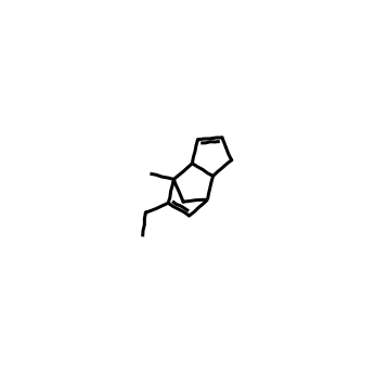 CCC1=CC2CC1(C)C1C=CCC21